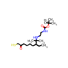 CCC(CCCCC(=O)CS)C(C)(C)NCCNC(=O)OC(C)(C)C